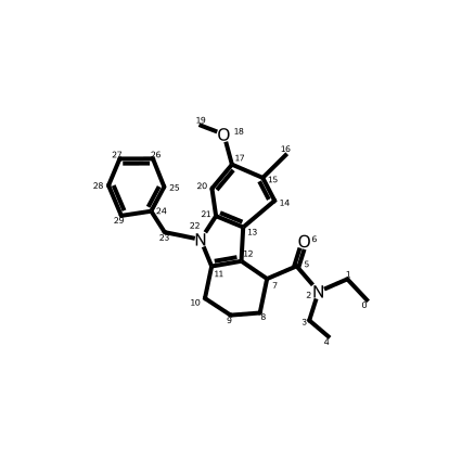 CCN(CC)C(=O)C1CCCc2c1c1cc(C)c(OC)cc1n2Cc1ccccc1